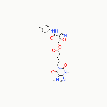 Cc1ccc(NC(=O)c2cnoc2COC(=O)CCCCn2c(=O)c3c(ncn3C)n(C)c2=O)cc1